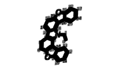 CCn1c2c(ccc3oc4ccccc4c32)c2ccc3oc4ccccc4c3c21